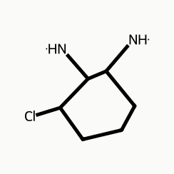 [NH]C1CCCC(Cl)C1[NH]